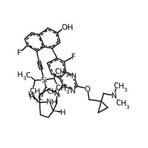 CC(C)[Si](C#Cc1c(F)ccc2cc(O)cc(-c3ccc4c(N5CC[C@H]6CC[C@@H](C5)N6)nc(OCC5(CN(C)C)CC5)nc4c3F)c12)(C(C)C)C(C)C